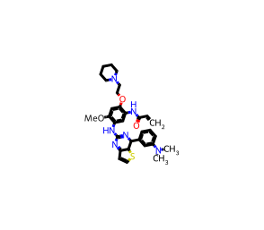 C=CC(=O)Nc1cc(NC2=NC(c3cccc(N(C)C)c3)C3SC=CC3=N2)c(OC)cc1OCCN1CCCCC1